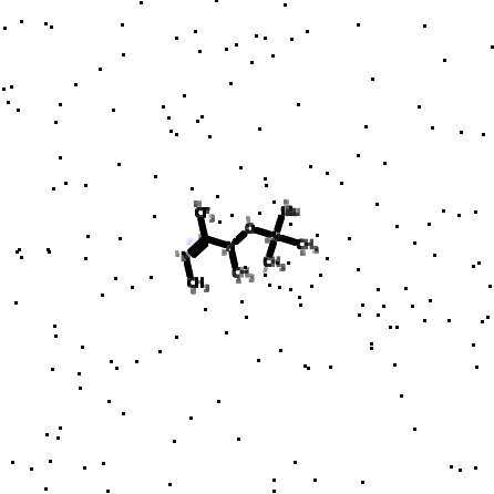 C/N=C(\N(C)O[Si](C)(C)C(C)(C)C)C(F)(F)F